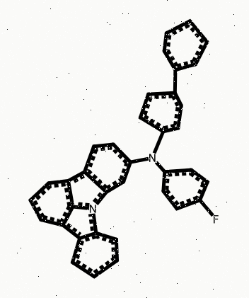 Fc1ccc(N(c2ccc(-c3ccccc3)cc2)c2ccc3c4cccc5c6ccccc6n(c3c2)c54)cc1